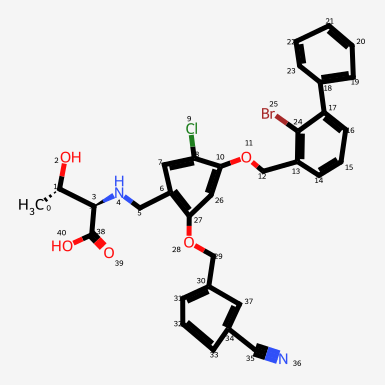 C[C@H](O)[C@@H](NCc1cc(Cl)c(OCc2cccc(-c3ccccc3)c2Br)cc1OCc1cccc(C#N)c1)C(=O)O